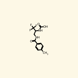 Cc1ccc(C(=O)NCC(NC(=O)O)C(F)(F)F)cc1